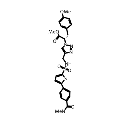 CNC(=O)c1ccc(-c2ccc(S(=O)(=O)NCc3cn([C@@H](Cc4ccc(OC)cc4)C(=O)OC)nn3)s2)cc1